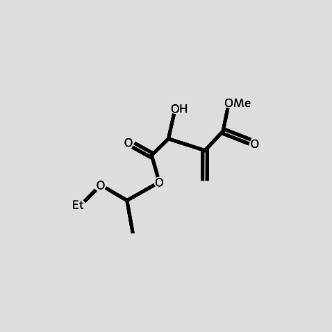 C=C(C(=O)OC)C(O)C(=O)OC(C)OCC